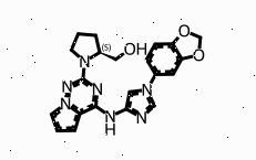 OC[C@@H]1CCCN1c1nc(Nc2cn(-c3ccc4c(c3)OCO4)cn2)c2cccn2n1